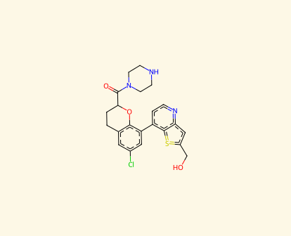 O=C(C1CCc2cc(Cl)cc(-c3ccnc4cc(CO)sc34)c2O1)N1CCNCC1